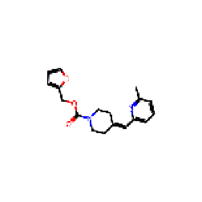 Cc1cccc(C=C2CCN(C(=O)OCc3ccco3)CC2)n1